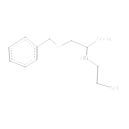 NCCNC(COCc1ccccc1)C(=O)O